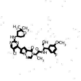 COc1cc(F)cc([C@@H](CO)NC(=O)[C@H](C)n2cnn3cc(-c4nc(N[C@@H]5CCOC(C)(C)C5)ncc4Cl)cc3c2=O)c1